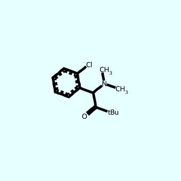 CN(C)C(C(=O)C(C)(C)C)c1ccccc1Cl